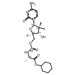 C[C@H](N[PH](=O)OC[C@@]1(F)O[C@@H](n2ccc(N)nc2=O)[C@](C)(F)[C@@H]1O)C(=O)OC1CCCCC1